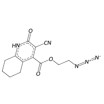 N#Cc1c(C(=O)OCCN=[N+]=[N-])c2c([nH]c1=O)CCCC2